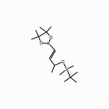 CC(C=CB1OC(C)(C)C(C)(C)O1)O[Si](C)(C)C(C)(C)C